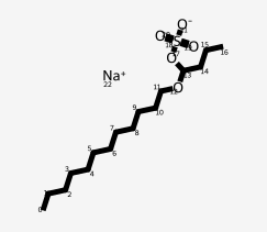 CCCCCCCCCCCCOC(CCC)OS(=O)(=O)[O-].[Na+]